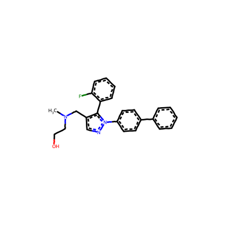 CN(CCO)Cc1cnn(-c2ccc(-c3ccccc3)cc2)c1-c1ccccc1F